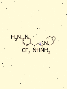 N=C(/C=C(\N)N1CCOCC1)c1cnc(N)cc1C(F)(F)F